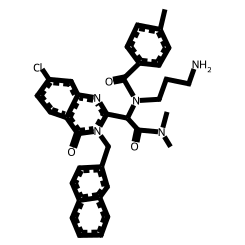 Cc1ccc(C(=O)N(CCCN)C(C(=O)N(C)C)c2nc3cc(Cl)ccc3c(=O)n2Cc2ccc3ccccc3c2)cc1